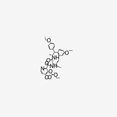 CCOC(=O)Oc1c(OC)ccnc1C(=O)N[C@H](C(=O)N[C@@H](C)C(c1ccc(OCC)cc1)c1ccc(OCC)cc1)[C@@H](C)CC